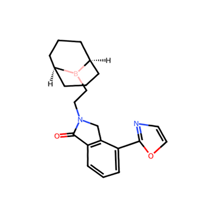 O=C1c2cccc(-c3ncco3)c2CN1CCB1[C@H]2CCC[C@@H]1CCC2